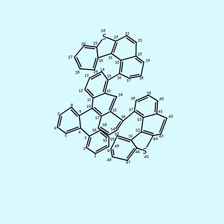 c1ccc(-c2ccccc2-c2c3cccc(-c4cccc5ccc6sc7ccccc7c6c45)c3cc3c(-c4cccc5ccc6sc7ccccc7c6c45)cccc23)cc1